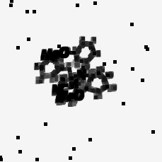 COc1ccccc1[C@@H](c1ccccc1)[C@@]1(N(C)c2ccccc2OC)CN2CCC1CC2